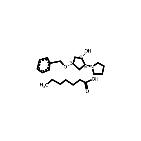 CCCCCCC(=O)O.O[C@H]1C[C@@H](OCc2ccccc2)C[C@@H]1N1CCCC1